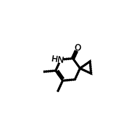 CC1=C(C)NC(=O)C2(CC2)C1